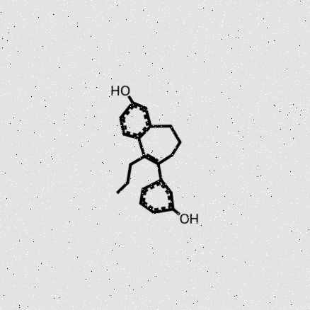 CCCC1=C(c2cccc(O)c2)CCCc2cc(O)ccc21